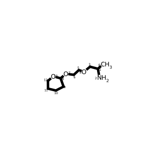 CC(N)COCCOC1CCCCO1